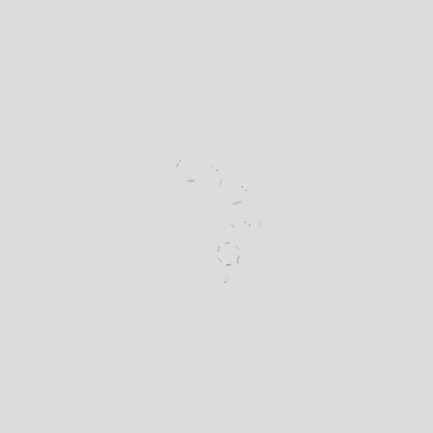 CC(C)C(NC(=O)c1ccc(N)c(Cl)c1)C(=O)N1CCCC1C(=O)NC(C=O)CC(=O)O